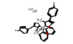 CC1=[C]([Hf](=[SiH2])([C]2=C(C)C(c3ccc(F)cc3)=CC2)([c]2ccccc2)[c]2ccccc2)CC=C1c1ccc(F)cc1.Cl.Cl